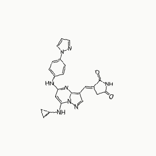 O=C1C/C(=C\c2cnn3c(NC4CC4)cc(Nc4ccc(-n5cccn5)cc4)nc23)C(=O)N1